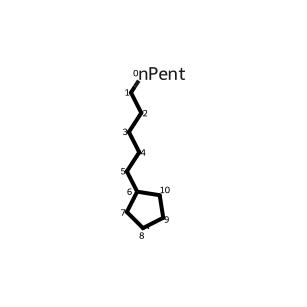 CCCCCCCCCCC1C[CH]CC1